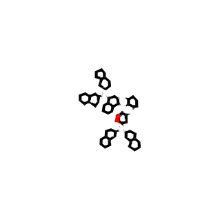 c1cc2c3c(c1)Oc1cc(N(c4ccc5ccccc5c4)c4ccc5ccccc5c4)c4ccccc4c1B3c1c(cc(N(c3ccc4ccccc4c3)c3ccc4ccccc4c3)c3ccccc13)O2